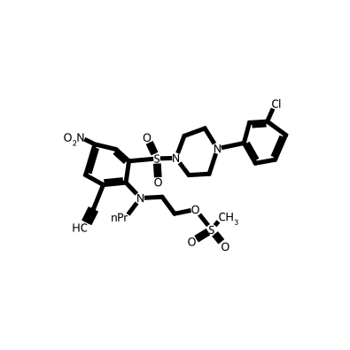 C#Cc1cc([N+](=O)[O-])cc(S(=O)(=O)N2CCN(c3cccc(Cl)c3)CC2)c1N(CCC)CCOS(C)(=O)=O